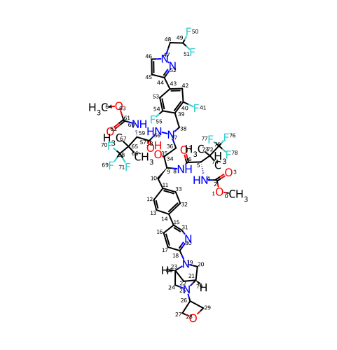 COC(=O)N[C@H](C(=O)N[C@@H](Cc1ccc(-c2ccc(N3C[C@H]4C[C@@H]3CN4C3COC3)nc2)cc1)[C@@H](O)CN(Cc1c(F)cc(-c2ccn(CC(F)F)n2)cc1F)NC(=O)[C@@H](NC(=O)OC)C(C)(C)C(F)(F)F)C(C)(C)C(F)(F)F